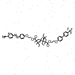 CCC(C)(C)CC(C)(C(=O)OCCOc1ccc(-c2ccc(C(F)(F)F)cc2)cc1)C(CC)(CC)C(C)(C)CC(C)(C(=O)OCCOc1ccc(/N=N/c2ccc(C#N)nc2)cc1)C(C)(C)CC